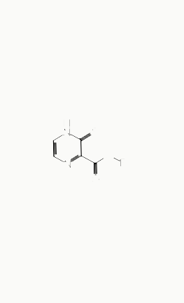 CCOC(=O)c1ncc[nH]c1=S